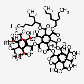 CCCCC(CCC)COC(=O)c1c(C(=O)O)c(C(=O)OC(=O)c2c(C(=O)O)c(C(=O)O)c(C(=O)O)c(C(=O)O)c2C(=O)O)c(C(=O)OC(=O)c2c(C(=O)O)c(C(=O)O)c(C(=O)O)c(C(=O)O)c2C(=O)O)c(C(=O)OCC(CCC)CCCC)c1C(=O)OCC(CCC)CCCC